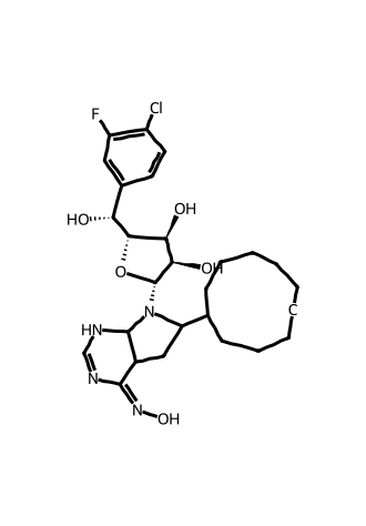 O/N=C1/N=CNC2C1CC(C1CCCCCCCCC1)N2[C@@H]1O[C@H]([C@H](O)c2ccc(Cl)c(F)c2)[C@@H](O)[C@H]1O